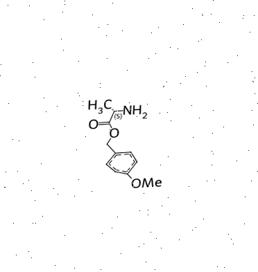 COc1ccc(COC(=O)[C@H](C)N)cc1